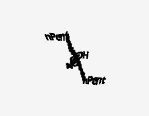 CCCCCC=CCC=CCCCCCCCC(O)C(CCCCCCCC=CCC=CCCCCC)OC(=O)CCN(C)C